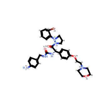 Nc1ccc(CNC(=O)N[C@H](C(=O)N2CCCN2c2ccccc2Br)c2ccc(OCCN3CCOCC3)cc2)cc1